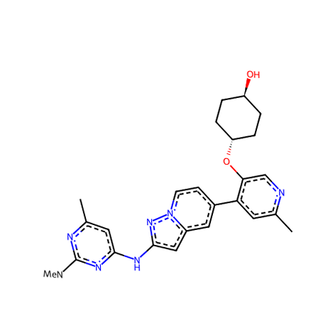 CNc1nc(C)cc(Nc2cc3cc(-c4cc(C)ncc4O[C@H]4CC[C@H](O)CC4)ccn3n2)n1